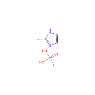 Cc1ncc[nH]1.O=P(O)(O)F